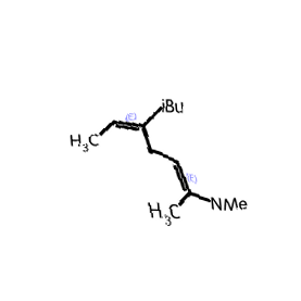 C/C=C(\C/C=C(\C)NC)C(C)CC